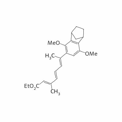 CCOC(=O)C=C(C)C=CC=C(C)c1cc(OC)c2c(c1OC)C1CCC2C1